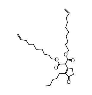 C=CCCCCCCCCOC(=O)C(C(=O)OCCCCCCCCC=C)C1=C(CCCCC)C(=O)CC1